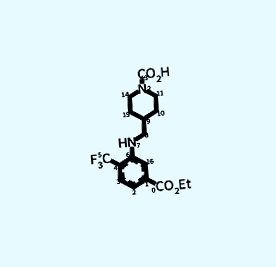 CCOC(=O)c1ccc(C(F)(F)F)c(NCC2CCN(C(=O)O)CC2)c1